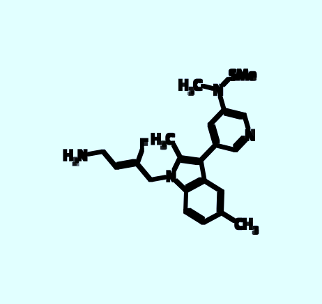 CSN(C)c1cncc(-c2c(C)n(C/C(F)=C/CN)c3ccc(C)cc23)c1